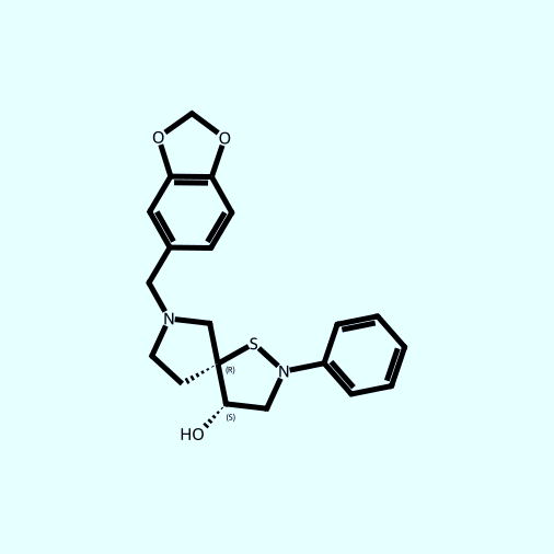 O[C@H]1CN(c2ccccc2)S[C@@]12CCN(Cc1ccc3c(c1)OCO3)C2